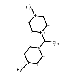 CC(N1CCN(C)CC1)N1CCN(C)CC1